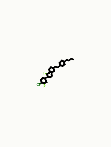 CCCCc1ccc(CCc2ccc3c(F)c(-c4ccc(Cl)c(F)c4)ccc3c2)cc1